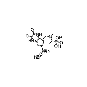 Br.CC(N(C)Cc1cc([N+](=O)[O-])cc2[nH]c(=O)c(=O)[nH]c12)P(=O)(O)O